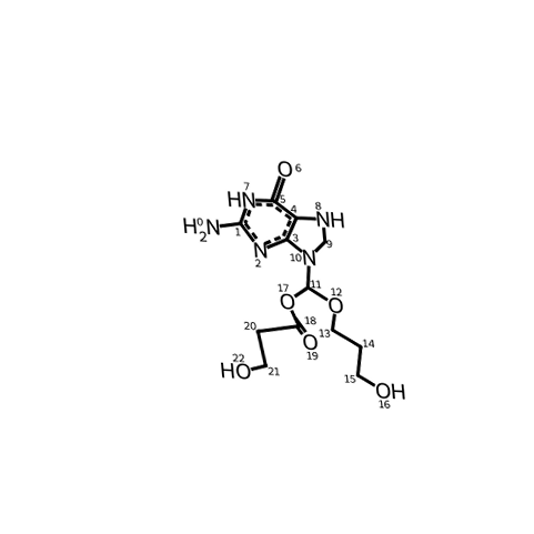 Nc1nc2c(c(=O)[nH]1)NCN2C(OCCCO)OC(=O)CCO